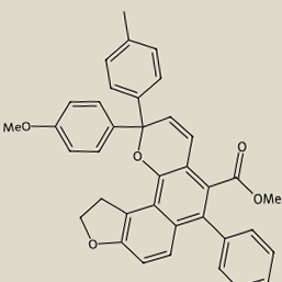 COC(=O)c1c2c(c3c4c(ccc3c1-c1ccccc1)OCC4)OC(c1ccc(C)cc1)(c1ccc(OC)cc1)C=C2